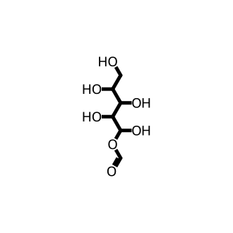 O=COC(O)C(O)C(O)C(O)CO